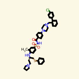 Cc1cc(S(=O)(=O)NC(=O)c2ccc(N3CCN(Cc4ccccc4-c4ccc(Cl)cc4)CC3)cc2)ccc1N[C@H](CCN1CCCC1)CSc1ccccc1